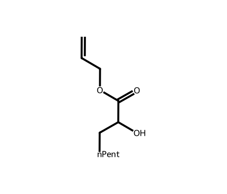 C=CCOC(=O)C(O)CCCCCC